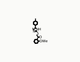 COc1ccccc1C(=O)CSc1nnc(-c2ccc(C)cc2)[nH]1